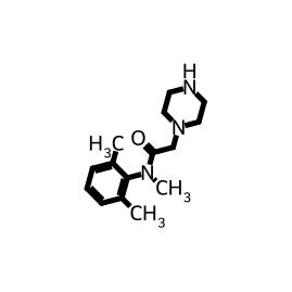 Cc1cccc(C)c1N(C)C(=O)CN1CCNCC1